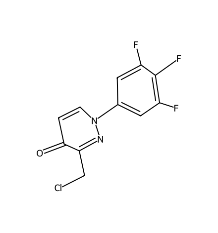 O=c1ccn(-c2cc(F)c(F)c(F)c2)nc1CCl